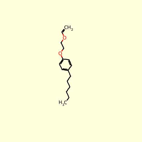 C=COCCOc1ccc(CCCCCC)cc1